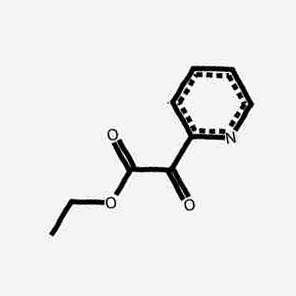 CCOC(=O)C(=O)c1[c]cccn1